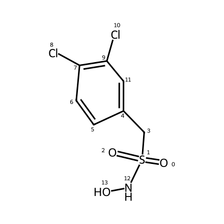 O=S(=O)(Cc1ccc(Cl)c(Cl)c1)NO